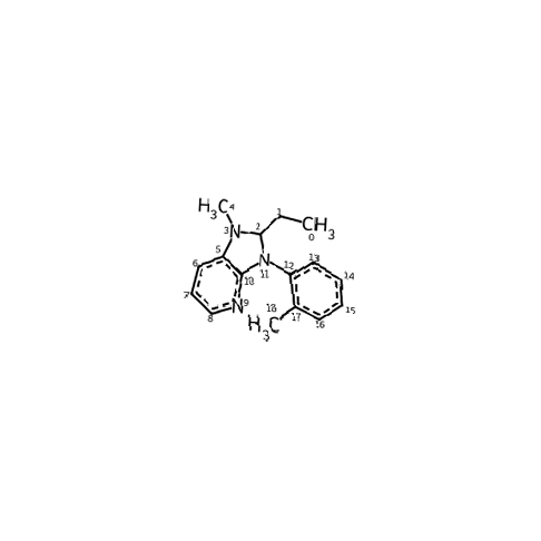 CCC1N(C)c2cccnc2N1c1ccccc1C